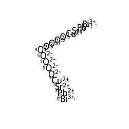 [Bi+3].[Bi+3].[Cu+2].[Cu+2].[O-2].[O-2].[O-2].[O-2].[O-2].[O-2].[O-2].[O-2].[O-2].[Pb+2].[Pb+2].[Sr+2].[Sr+2]